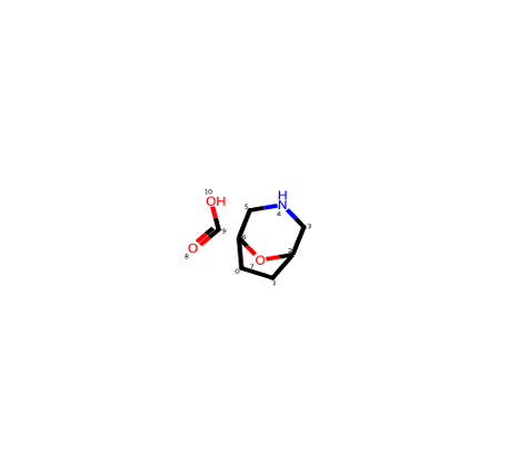 C1CC2CNCC1O2.O=CO